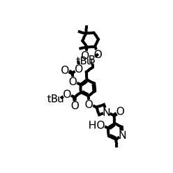 Cc1cc(O)c(C(=O)N2CC(Oc3ccc(CCB4OC5CCC(C)(C)CC5(C)O4)c(OC(=O)OC(C)(C)C)c3C(=O)OC(C)(C)C)C2)cn1